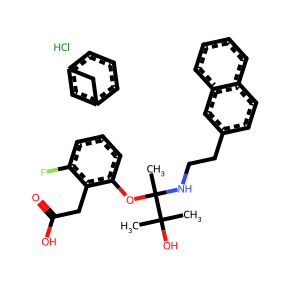 CC(C)(O)C(C)(NCCc1ccc2ccccc2c1)Oc1cccc(F)c1CC(=O)O.Cl.c1cc2cc(c1)C2